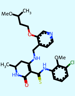 COc1c(Cl)cccc1NC(=S)C1=C(NCc2ccncc2OCCC(C)OC)CC(C)NC1=O